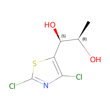 C[C@@H](O)[C@H](O)c1sc(Cl)nc1Cl